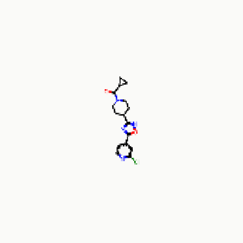 O=C(C1CC1)N1CCC(c2noc(-c3ccnc(Cl)c3)n2)CC1